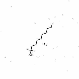 CCCCCCCCCC(C)(C)S.[Pt]